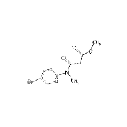 COC(=O)CC(=O)N(C)c1ccc(Br)cc1